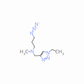 CCn1cc(CN(C)CCCN=[N+]=[N-])nn1